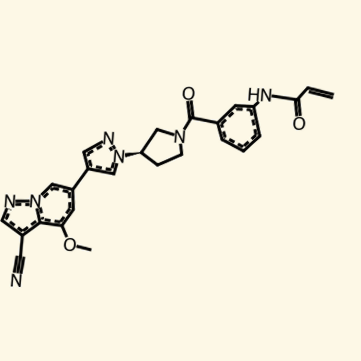 C=CC(=O)Nc1cccc(C(=O)N2CC[C@@H](n3cc(-c4cc(OC)c5c(C#N)cnn5c4)cn3)C2)c1